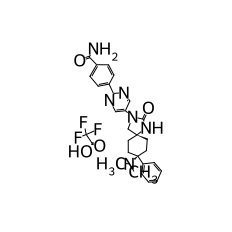 CN(C)[C@]1(c2ccccc2)CC[C@@]2(CC1)CN(c1cnc(-c3ccc(C(N)=O)cc3)nc1)C(=O)N2.O=C(O)C(F)(F)F